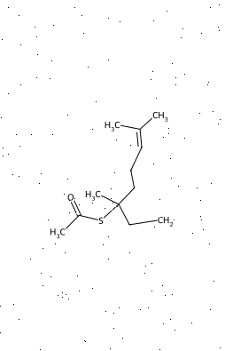 [CH2]CC(C)(CCC=C(C)C)SC(C)=O